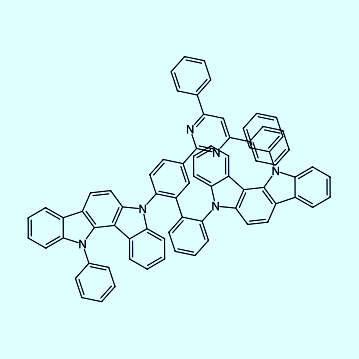 c1ccc(-c2cc(-c3ccccc3)nc(-c3ccc(-n4c5ccccc5c5c4ccc4c6ccccc6n(-c6ccccc6)c45)c(-c4ccccc4-n4c5ccccc5c5c4ccc4c6ccccc6n(-c6ccccc6)c45)c3)n2)cc1